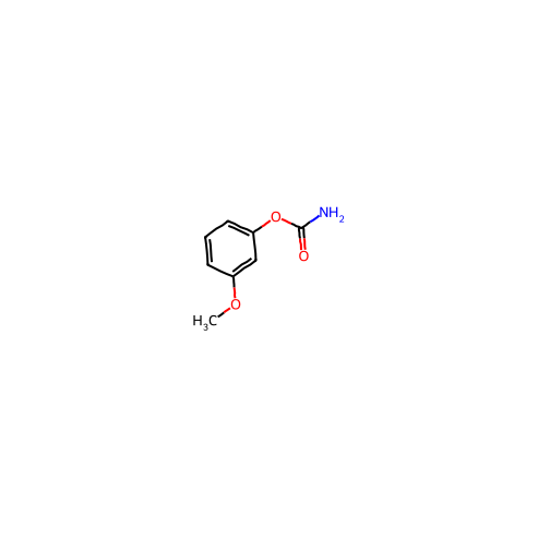 COc1cccc(OC(N)=O)c1